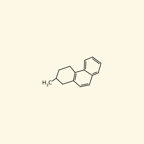 CC1CCc2c(ccc3ccccc23)C1